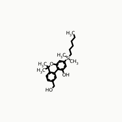 CCCCCC[Si](C)(C)c1cc(O)c2c(c1)OC(C)(C)c1ccc(CO)cc1-2